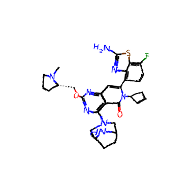 CN1CCC[C@H]1COc1nc(N2CC3CCC(C2)N3)c2c(=O)n(C3CCC3)c(-c3ccc(F)c4sc(N)nc34)cc2n1